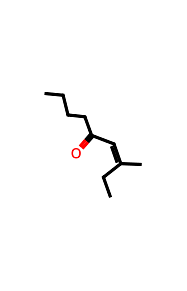 CCCCC(=O)/C=C(/C)CC